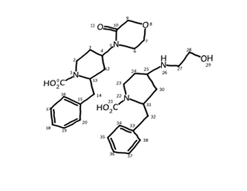 O=C(O)N1CCC(N2CCOCC2=O)CC1Cc1ccccc1.O=C(O)N1CCC(NCCO)CC1Cc1ccccc1